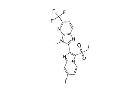 CCS(=O)(=O)c1c(-c2nc3ccc(C(F)(F)F)nc3n2C)nc2cc(I)ccn12